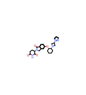 O=C1CCC(N2Cc3cc(O[C@H]4CCCC[C@@H]4N4CC(n5cccn5)C4)ccc3C2=O)C(=O)N1